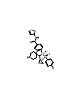 CC(=O)[N+]1(S(=O)(=O)c2ccc(F)cc2)c2ccc(C(=O)Nc3ccon3)cc2C2(CCNCC2)C1C1CC1